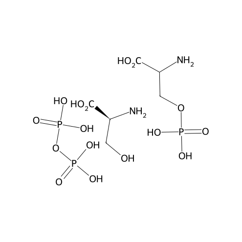 NC(COP(=O)(O)O)C(=O)O.N[C@@H](CO)C(=O)O.O=P(O)(O)OP(=O)(O)O